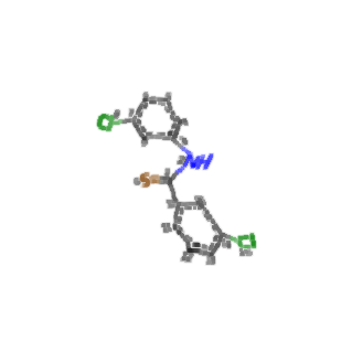 S=C(Nc1cccc(Cl)c1)c1cccc(Cl)c1